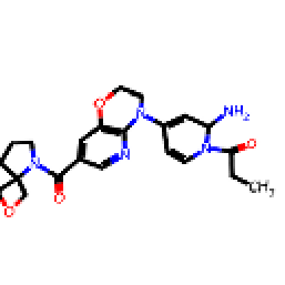 CCC(=O)N1C=CC(N2CCOc3cc(C(=O)N4CCCC45COC5)cnc32)=CC1N